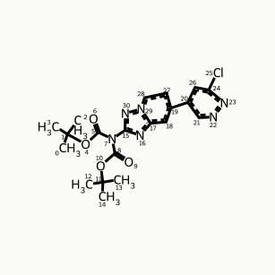 CC(C)(C)OC(=O)N(C(=O)OC(C)(C)C)c1nc2cc(-c3cnnc(Cl)c3)ccn2n1